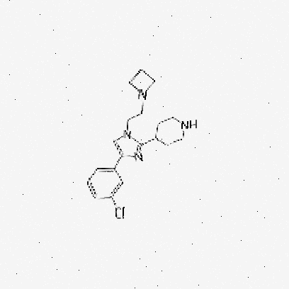 Clc1cccc(-c2cn(CCN3CCC3)c(C3CCNCC3)n2)c1